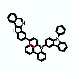 c1ccc(-c2ccccc2N(c2ccc(-c3ccc4oc5c6ccccc6cnc5c4c3)cc2)c2ccc3c(c2)c2ccccc2n3-c2ccccc2)cc1